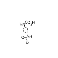 O=C(O)N[C@H]1CC[C@H](NC(=O)C2CC2)CC1